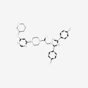 O=C(Cn1nc(-c2ccc(F)cc2)nc1-c1ccc(F)cc1)N1CCN(c2cc(OC3CCCOC3)ncn2)CC1